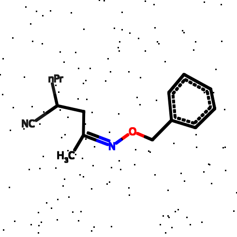 CCCC(C#N)CC(C)=NOCc1ccccc1